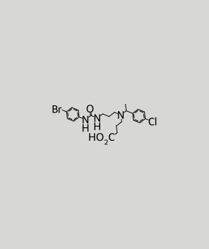 CC(c1ccc(Cl)cc1)N(CCCNC(=O)Nc1ccc(Br)cc1)CCCC(=O)O